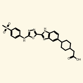 CS(=O)(=O)c1ccc(Nc2nnc(-c3nc4cc(C5CCC(CC(=O)O)CC5)ccc4[nH]3)o2)cc1